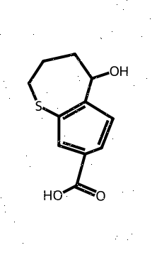 O=C(O)c1ccc2c(c1)SCCCC2O